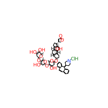 CN1CCC(=C2c3ccccc3C=Cc3ccccc32)CC1.C[C@H]1O[C@@H](O[C@H]2[C@@H](O)C[C@H](O[C@H]3[C@@H](O)C[C@H](O[C@H]4CC[C@@]5(C)[C@H](CC[C@@H]6[C@@H]5CC[C@]5(C)[C@@H](C7=CC(=O)OC7)CC[C@]65O)C4)O[C@@H]3C)O[C@@H]2C)C[C@H](O)[C@@H]1O.Cl